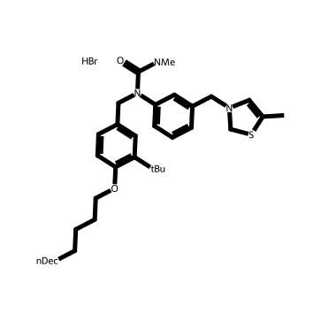 Br.CCCCCCCCCCCCCCOc1ccc(CN(C(=O)NC)c2cccc(CN3C=C(C)SC3)c2)cc1C(C)(C)C